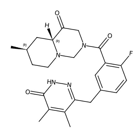 Cc1c(Cc2ccc(F)c(C(=O)N3CC(=O)[C@H]4C[C@H](C)CCN4C3)c2)n[nH]c(=O)c1C